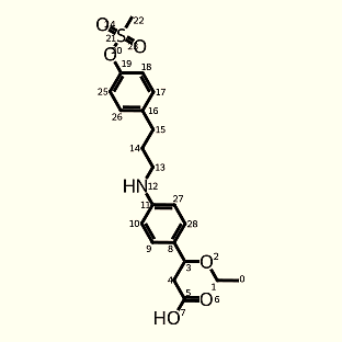 CCOC(CC(=O)O)c1ccc(NCCCc2ccc(OS(C)(=O)=O)cc2)cc1